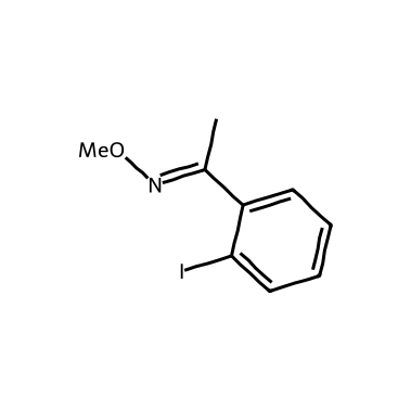 CON=C(C)c1ccccc1I